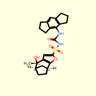 C[C@@]1(O)c2cc(S(=O)(=O)NC(=O)Nc3c4c(cc5c3CCC5)CCC4)oc2[C@H]2CC[C@@H]1C2